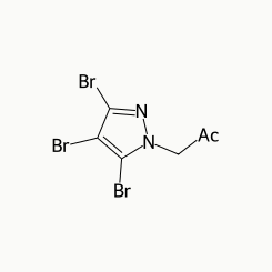 CC(=O)Cn1nc(Br)c(Br)c1Br